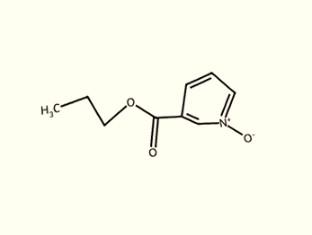 CCCOC(=O)c1ccc[n+]([O-])c1